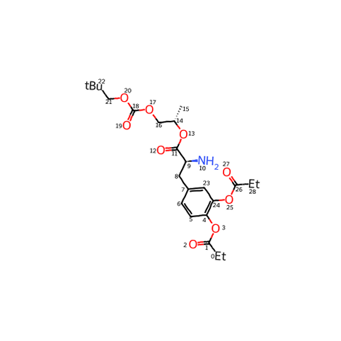 CCC(=O)Oc1ccc(C[C@H](N)C(=O)O[C@@H](C)COC(=O)OCC(C)(C)C)cc1OC(=O)CC